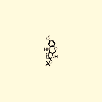 COc1ccc2c(c1)NC(=O)C(NC(=O)OC(C)(C)C)CO2